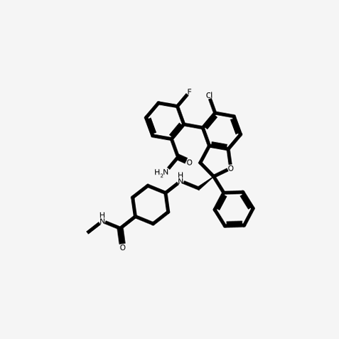 CNC(=O)C1CCC(NC[C@@]2(c3ccccc3)Cc3c(ccc(Cl)c3C3=C(C(N)=O)C=CCC3F)O2)CC1